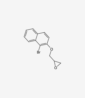 Brc1c(OCC2CO2)ccc2ccccc12